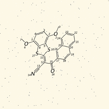 COc1ccc(OC)c2c1SC(=C(C#N)C(=O)c1ccc3ccccc3c1)S2